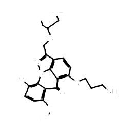 COc1ccc(O)c2c1c(=O)c1c(NCCCN)ccc3c(CNC(CO)CO)nn2c31